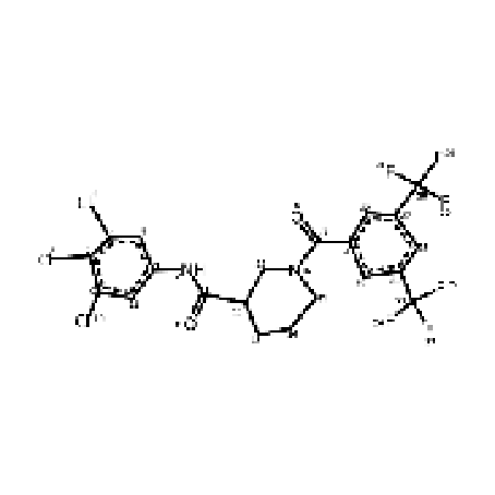 O=C(Nc1cc(Cl)c(Cl)c(Cl)c1)C1CCCN(C(=O)c2cc(C(F)(F)F)cc(C(F)(F)F)c2)C1